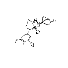 Cc1c(F)cc([C@@H]2CCc3nn(C45CC(F)(C4)C5)c(=O)n32)cc1Cl